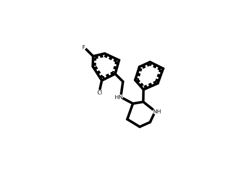 Fc1ccc(CNC2CCCNC2c2ccccc2)c(Cl)c1